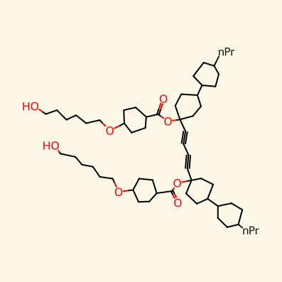 CCCC1CCC(C2CCC(C#CC#CC3(OC(=O)C4CCC(OCCCCCCO)CC4)CCC(C4CCC(CCC)CC4)CC3)(OC(=O)C3CCC(OCCCCCCO)CC3)CC2)CC1